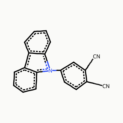 N#Cc1ccc(-n2c3ccccc3c3ccccc32)cc1C#N